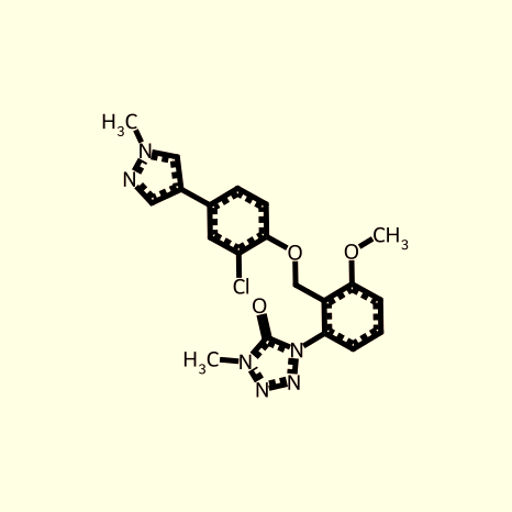 COc1cccc(-n2nnn(C)c2=O)c1COc1ccc(-c2cnn(C)c2)cc1Cl